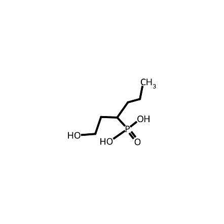 CCCC(CCO)P(=O)(O)O